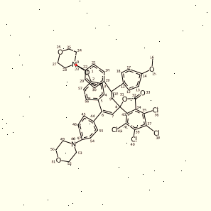 COc1ccc(/C(=C\C2(/C=C(\c3ccc(OC)cc3)c3ccc(N4CCOCC4)cc3)OC(=O)c3c(Cl)c(Cl)c(Cl)c(Cl)c32)c2ccc(N3CCOCC3)cc2)cc1